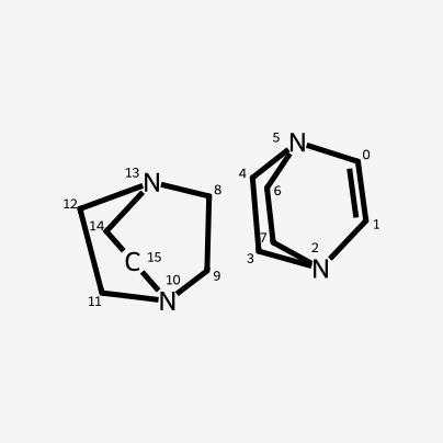 C1=CN2CCN1CC2.C1CN2CCN1CC2